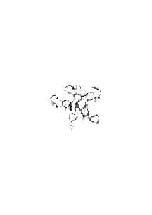 CC(C)(C)c1ccc(Nc2cc3c(cc2-c2c4c5c(c6cc7c(cc6n5-c5cc6c(cc5B4)oc4ccccc46)C(C)(C)CCC7(C)C)c4oc5ccccc5c24)-c2ccccc2C3(C)C)cc1